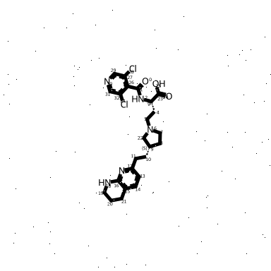 O=C(N[C@@H](CCN1CC[C@H](CCc2ccc3c(n2)NCCC3)C1)C(=O)O)c1c(Cl)cncc1Cl